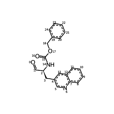 O=[C][C@H](Cc1cnc2ccccc2c1)NC(=O)OCc1ccccc1